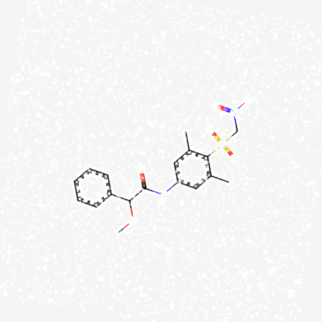 COC(C(=O)Nc1cc(C)c(S(=O)(=O)C[N+](=O)[O-])c(C)c1)c1ccccc1